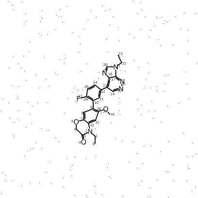 CCN1C(=O)COc2cc(-c3cc(-c4cnnc5c4ncn5CC)ccc3F)c(OC)cc21